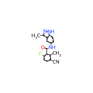 Cc1c(C#N)ccc(F)c1C(=O)Nc1ccc2[nH]nc(C)c2c1